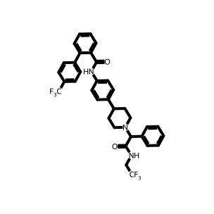 O=C(Nc1ccc(C2CCN(C(C(=O)NCC(F)(F)F)c3ccccc3)CC2)cc1)c1ccccc1-c1ccc(C(F)(F)F)cc1